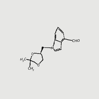 CC1(C)OC[C@H](Cn2ccc3c(C=O)cccc32)O1